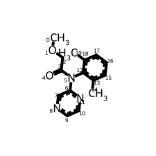 COCC(=O)N(c1cnccn1)c1c(C)cccc1C